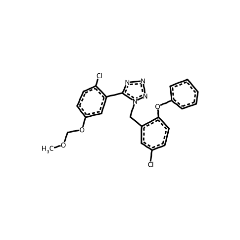 COCOc1ccc(Cl)c(-c2nnnn2Cc2cc(Cl)ccc2Oc2ccccc2)c1